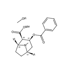 CO.COC(=O)[C@H]1[C@@H](OC(=O)c2ccccc2)C[C@@H]2CC[C@H]1N2C